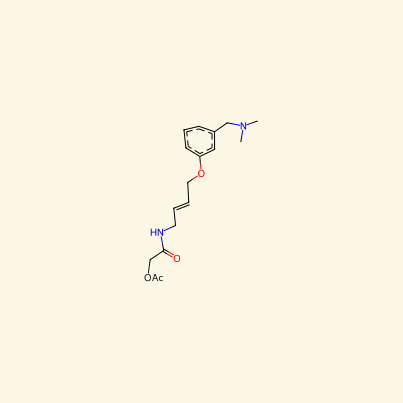 CC(=O)OCC(=O)NC/C=C/COc1cccc(CN(C)C)c1